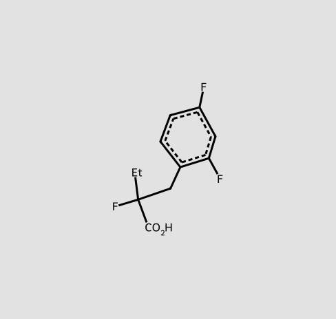 CCC(F)(Cc1ccc(F)cc1F)C(=O)O